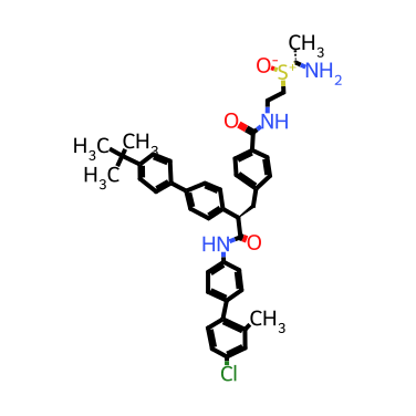 Cc1cc(Cl)ccc1-c1ccc(NC(=O)[C@H](Cc2ccc(C(=O)NCC[S+]([O-])[C@H](C)N)cc2)c2ccc(-c3ccc(C(C)(C)C)cc3)cc2)cc1